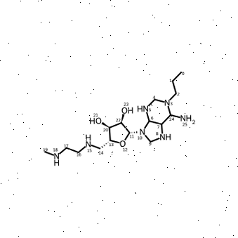 CCCN1CNC2C(NCN2[C@@H]2O[C@H](CNCCNC)[C@@H](O)[C@H]2O)C1N